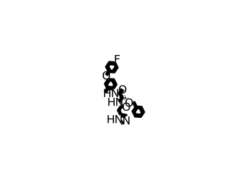 Cc1cc(Oc2ccc(F)cc2)ccc1NC(=O)[C@H](COCc1ccccc1)NC(=O)Cc1cnc[nH]1